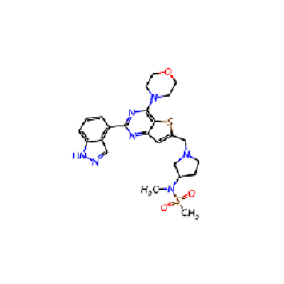 CN(C1CCN(Cc2cc3nc(-c4cccc5[nH]ncc45)nc(N4CCOCC4)c3s2)C1)S(C)(=O)=O